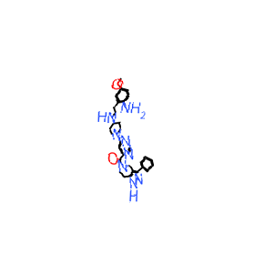 COc1ccc(N)c(CCNC2CCN(c3cc(C(=O)N4CCc5[nH]nc(-c6ccccc6)c5C4)ncn3)CC2)c1